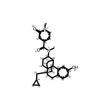 CN(C(=O)c1ccn(C)c(=O)c1)C1CCC23CCC1C21CCN(CC2CC2)C3Cc2ccc(O)cc21